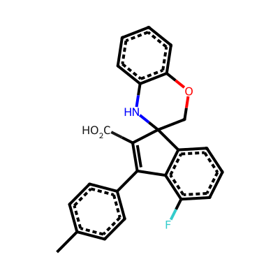 Cc1ccc(C2=C(C(=O)O)C3(COc4ccccc4N3)c3cccc(F)c32)cc1